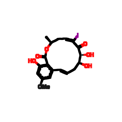 COc1cc(O)c2c(c1)/C=C/C[C@H](O)[C@@H](O)C(=O)/C(I)=C\C[C@H](C)OC2=O